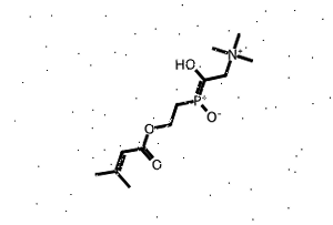 CC(C)=CC(=O)OCC/[P+]([O-])=C(\O)C[N+](C)(C)C